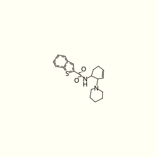 O=S(=O)(NC1CCC=CC1N1CCCCC1)c1cc2ccccc2s1